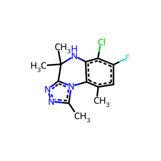 Cc1cc(F)c(Cl)c2c1-n1c(C)nnc1C(C)(C)N2